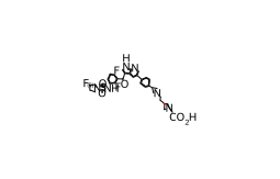 O=C(O)CN1CC(CCN2CC(c3ccc(-c4cnc5[nH]cc(C(=O)c6c(F)ccc(NS(=O)(=O)N7CC[C@@H](F)C7)c6F)c5c4)cc3)C2)C1